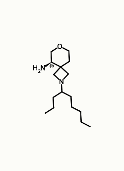 CCCCCC(CCC)N1CC2(CCOC[C@@H]2N)C1